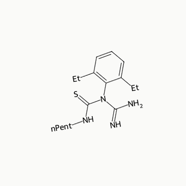 CCCCCNC(=S)N(C(=N)N)c1c(CC)cccc1CC